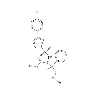 CC(C)NCC1(c2ccccc2)CC1(NS(=O)(=O)c1ccc(-c2ccc(Cl)cc2)s1)C(=O)OC(C)(C)C